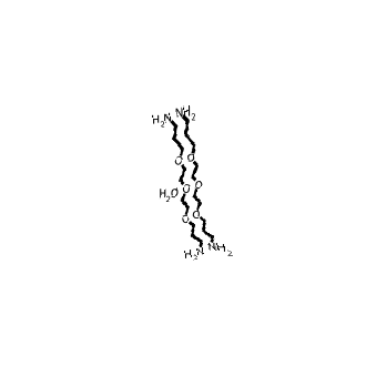 NCCCOCCOCCOCCCN.NCCCOCCOCCOCCCN.O